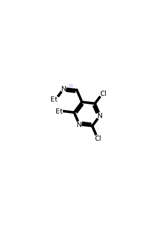 CC/N=C\c1c(Cl)nc(Cl)nc1CC